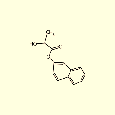 CC(O)C(=O)Oc1ccc2ccccc2c1